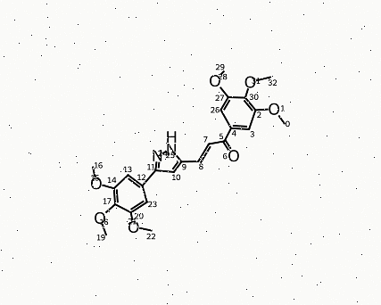 COc1cc(C(=O)C=Cc2cc(-c3cc(OC)c(OC)c(OC)c3)n[nH]2)cc(OC)c1OC